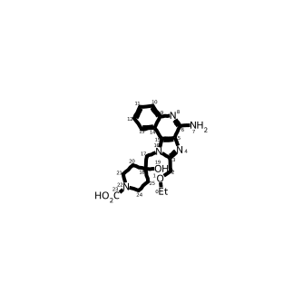 CCOCc1nc2c(N)nc3ccccc3c2n1CC1(O)CCN(C(=O)O)CC1